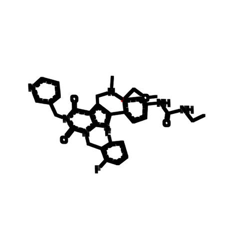 CCNC(=O)Nc1ccc(-c2sc3c(c2CN(C)CCOC)c(=O)n(Cc2cccnc2)c(=O)n3Cc2c(F)cccc2F)cc1